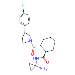 NC1(NC(=O)[C@@H]2CCCC[C@H]2C(=O)N2CCC(c3ccc(F)cc3)C2)CC1